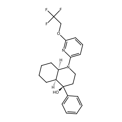 O[C@]1(c2ccccc2)CCN(c2cccc(OCC(F)(F)F)n2)[C@@H]2CCCC[C@@H]21